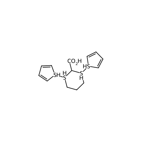 O=C(O)C1[SH]([SH]2C=CC=C2)CCC[SH]1[SH]1C=CC=C1